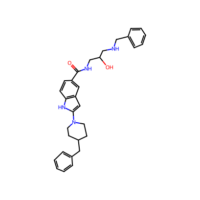 O=C(NCC(O)CNCc1ccccc1)c1ccc2[nH]c(N3CCC(Cc4ccccc4)CC3)cc2c1